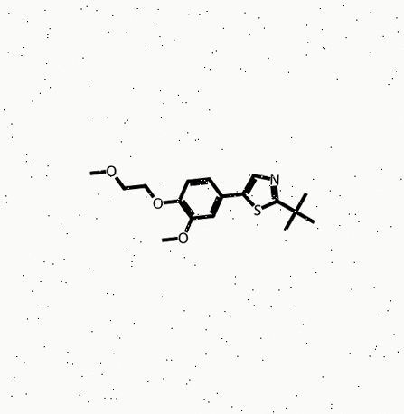 COCCOc1ccc(-c2[c]nc(C(C)(C)C)s2)cc1OC